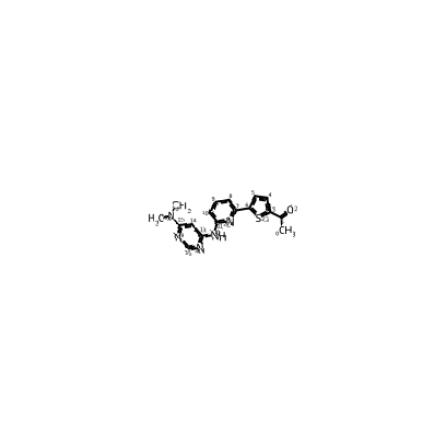 CC(=O)c1ccc(-c2cccc(Nc3cc(N(C)C)ncn3)n2)s1